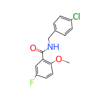 COc1ccc(F)cc1C(=O)NCc1ccc(Cl)cc1